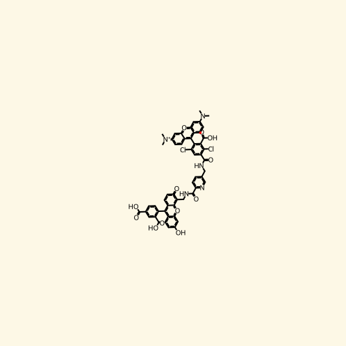 CN(C)c1ccc2c(-c3c(Cl)cc(C(=O)NCc4ccc(C(=O)NCc5c6oc7cc(O)ccc7c(-c7ccc(C(=O)O)cc7C(=O)O)c-6ccc5=O)nc4)c(Cl)c3C(=O)O)c3ccc(=[N+](C)C)cc-3oc2c1